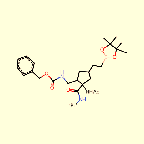 CCCCNC(=O)C1(NC(C)=O)CC(CCB2OC(C)(C)C(C)(C)O2)CC1CNC(=O)OCc1ccccc1